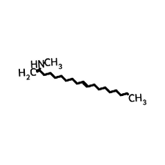 C=C(CCCCCCCC=CCCCCCCCC)NC